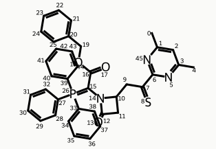 Cc1cc(C)nc(C(=S)CC2CC(=O)N2C(C(=O)OCc2ccccc2)=P(c2ccccc2)(c2ccccc2)c2ccccc2)n1